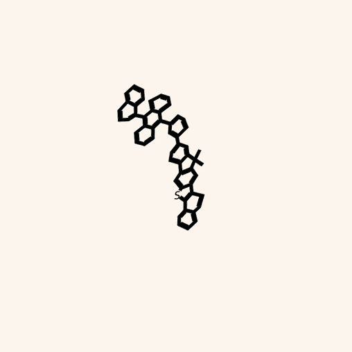 CC1(C)c2cc(-c3cccc(-c4c5ccccc5c(-c5cccc6ccccc56)c5ccccc45)c3)ccc2-c2cc3sc4c5ccccc5ccc4c3cc21